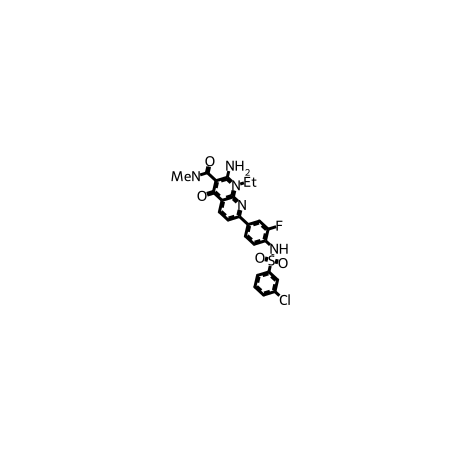 CCn1c(N)c(C(=O)NC)c(=O)c2ccc(-c3ccc(NS(=O)(=O)c4cccc(Cl)c4)c(F)c3)nc21